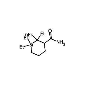 CCCC1(CC)C(C(N)=O)CCC[Si]1(CC)CC